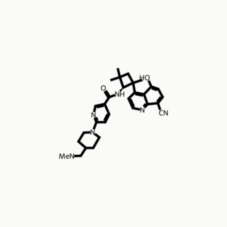 CNCC1CCN(c2ccc(C(=O)N[C@H]3C(C)(C)CC3(C)c3ccnc4c(C#N)ccc(O)c34)cn2)CC1